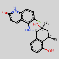 CC[C@@H]1C[C@](O)(C(F)(F)F)[C@@H](Nc2c(F)ccc3[nH]c(=O)ccc23)c2cccc(O)c21